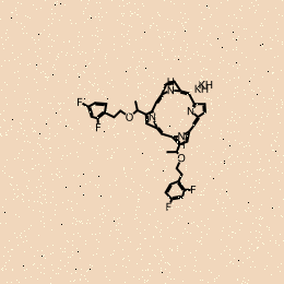 CC(OCCc1ccc(F)cc1F)C1=Cc2cc3[nH]c(cc4nc(cc5ccc(cc1n2)[nH]5)C=C4)cc3C(C)OCCc1ccc(F)cc1F.[KH].[KH]